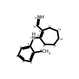 Cc1ccccc1NC1=C(C=N)CCCCC1